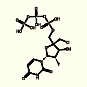 O=c1ccn([C@@H]2O[C@](CCl)(COP(=O)(O)OP(=O)(O)OP(=O)(O)O)[C@@H](O)[C@@H]2F)c(=O)[nH]1